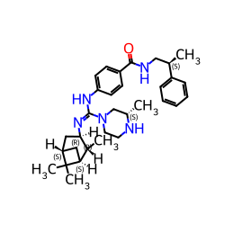 C[C@H]1[C@H](N=C(Nc2ccc(C(=O)NC[C@@H](C)c3ccccc3)cc2)N2CCN[C@@H](C)C2)C[C@@H]2C[C@@H]1C2(C)C